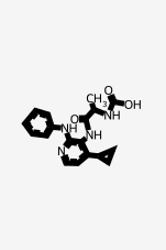 CC(NC(=O)O)C(=O)Nc1c(C2CC2)ccnc1Nc1ccccc1